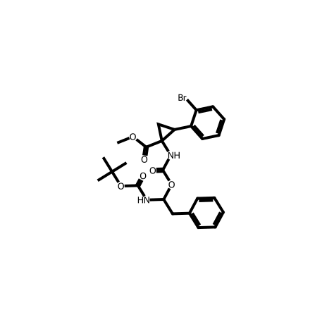 COC(=O)C1(NC(=O)OC(Cc2ccccc2)NC(=O)OC(C)(C)C)CC1c1ccccc1Br